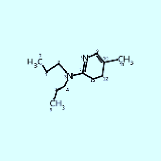 CCCN(CCC)C1=NC=C(C)CC1